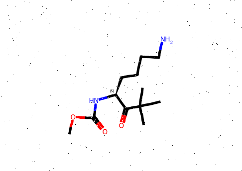 COC(=O)N[C@@H](CCCCN)C(=O)C(C)(C)C